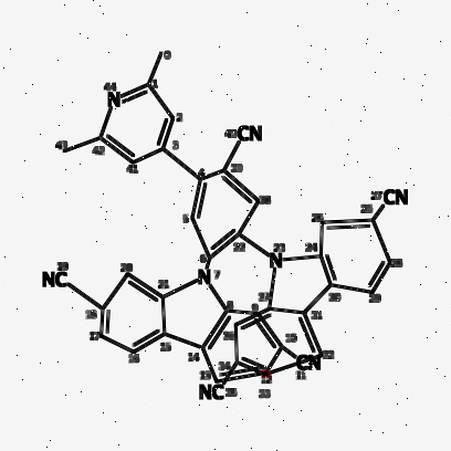 Cc1cc(-c2cc(-n3c4cc(C#N)ccc4c4ccc(C#N)cc43)c(-n3c4cc(C#N)ccc4c4ccc(C#N)cc43)cc2C#N)cc(C)n1